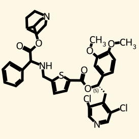 COc1ccc([C@H](Cc2c(Cl)cncc2Cl)OC(=O)c2ccc(CNC(C(=O)OC3CN4CCC3CC4)c3ccccc3)s2)cc1OC